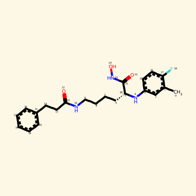 Cc1cc(N[C@H](CCCCNC(=O)CCc2ccccc2)C(=O)NO)ccc1F